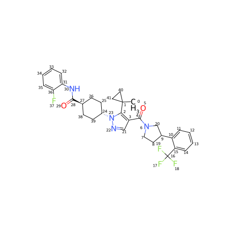 CC1(c2c(C(=O)N3CCC(c4ccccc4C(F)(F)F)C3)cnn2[C@H]2CC[C@H](C(=O)Nc3ccccc3F)CC2)CC1